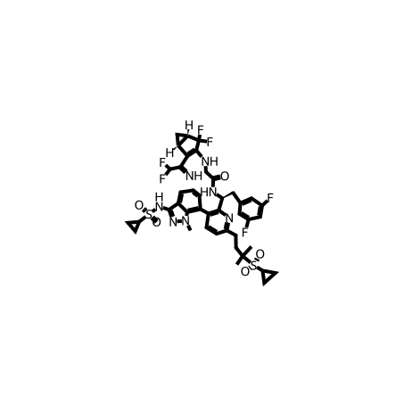 Cn1nc(NS(=O)(=O)C2CC2)c2cccc(-c3ccc(CCC(C)(C)S(=O)(=O)C4CC4)nc3[C@H](Cc3cc(F)cc(F)c3)NC(=O)CNC3=C(C(=N)C(F)F)[C@H]4C[C@H]4C3(F)F)c21